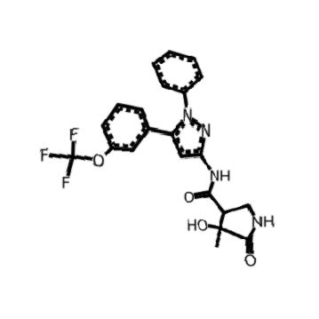 CC1(O)C(=O)NCC1C(=O)Nc1cc(-c2cccc(OC(F)(F)F)c2)n(-c2ccccc2)n1